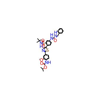 COc1cc(-c2ncc(-c3ccc(NC(=O)NCc4ccccc4)cc3S(=O)(=O)NC(C)(C)C)s2)ccc1NC(=O)OC(C)C